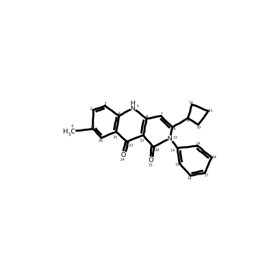 Cc1ccc2[nH]c3cc(C4CCC4)n(-c4ccccc4)c(=O)c3c(=O)c2c1